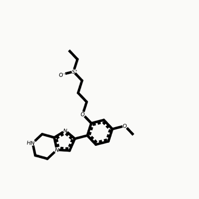 CC[S+]([O-])CCCOc1cc(OC)ccc1-c1cn2c(n1)CNCC2